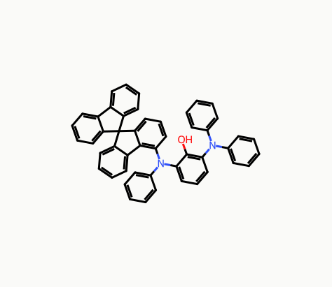 Oc1c(N(c2ccccc2)c2ccccc2)cccc1N(c1ccccc1)c1cccc2c1-c1ccccc1C21c2ccccc2-c2ccccc21